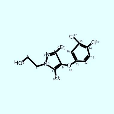 CCc1nn(CCO)c(CC)c1Oc1ccc(Cl)c(Cl)c1